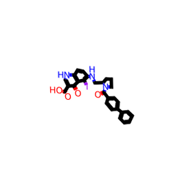 O=C(O)c1c[nH]c2ccc(NCC3CCCN3C(=O)c3ccc(-c4ccccc4)cc3)c(I)c2c1=O